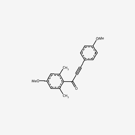 COc1ccc(C#CC(=O)c2c(C)cc(OC)cc2C)cc1